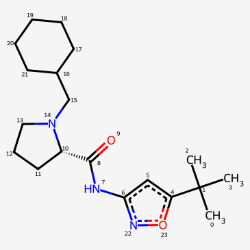 CC(C)(C)c1cc(NC(=O)[C@@H]2CCCN2CC2CCCCC2)no1